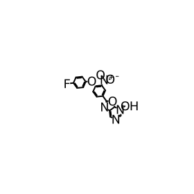 O=[N+]([O-])c1cc(C2=NC3=CN=CN(O)C3O2)ccc1Oc1ccc(F)cc1